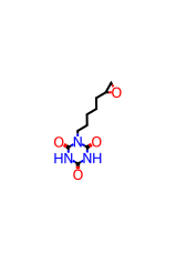 O=c1[nH]c(=O)n(CCCCCC2CO2)c(=O)[nH]1